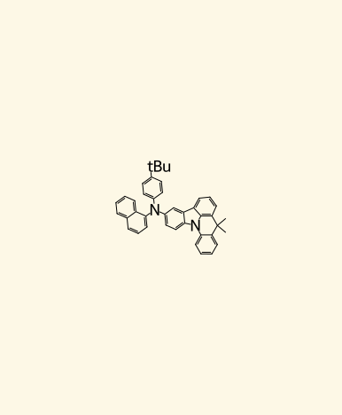 CC(C)(C)c1ccc(N(c2ccc3c(c2)c2cccc4c2n3-c2ccccc2C4(C)C)c2cccc3ccccc23)cc1